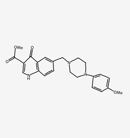 COC(=O)c1c[nH]c2ccc(CN3CCN(c4ccc(OC)cc4)CC3)cc2c1=O